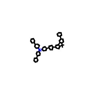 CC1(C)c2ccc(-c3ccccc3)cc2-c2cc(-c3ccc(-c4ccc(N(c5ccc(-c6ccccc6)cc5)c5ccc(-c6ccccc6)cc5)cc4)cc3)ccc21